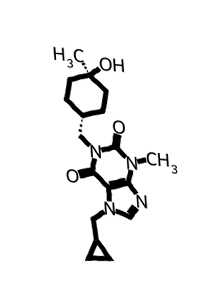 Cn1c(=O)n(C[C@H]2CC[C@](C)(O)CC2)c(=O)c2c1ncn2CC1CC1